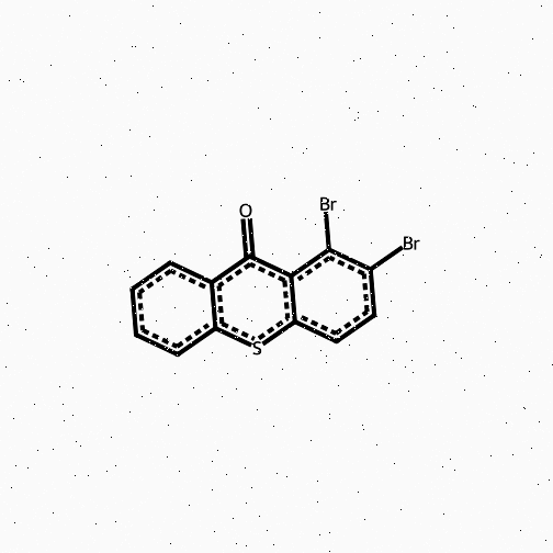 O=c1c2ccccc2sc2ccc(Br)c(Br)c12